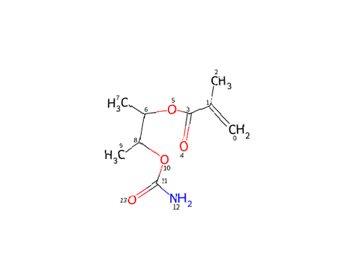 C=C(C)C(=O)OC(C)C(C)OC(N)=O